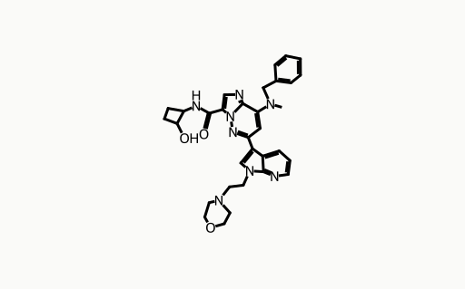 CN(Cc1ccccc1)c1cc(-c2cn(CCN3CCOCC3)c3ncccc23)nn2c(C(=O)NC3CCC3O)cnc12